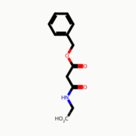 O=C(O)CNC(=O)CC(=O)OCc1ccccc1